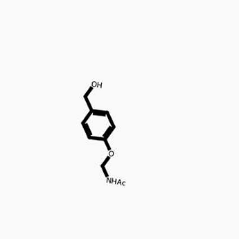 CC(=O)N[CH]Oc1ccc(CO)cc1